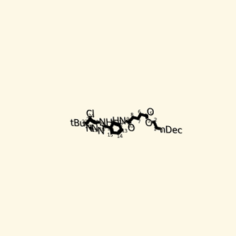 CCCCCCCCCCCCOC(=O)CCCC(=O)Nc1cccc(-c2nn3nc(C(C)(C)C)c(Cl)c3[nH]2)c1